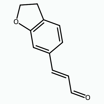 O=C/C=C/c1ccc2c(c1)OCC2